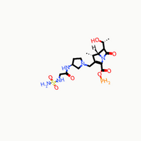 C[C@@H](O)C1C(=O)N2C(C(=O)OP)=C(CN3CC[C@H](NC(=O)CNS(N)(=O)=O)C3)[C@H](C)[C@H]12